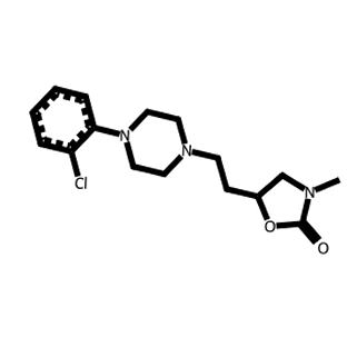 CN1CC(CCN2CCN(c3ccccc3Cl)CC2)OC1=O